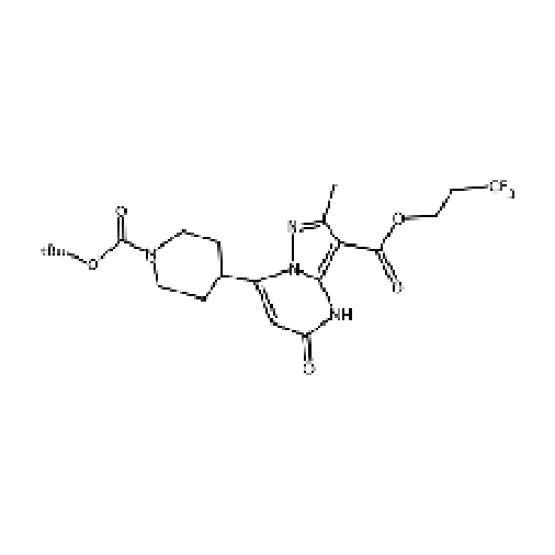 Cc1nn2c(C3CCN(C(=O)OC(C)(C)C)CC3)cc(=O)[nH]c2c1C(=O)OCCC(F)(F)F